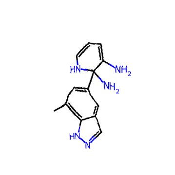 Cc1cc(C2(N)NC=CC=C2N)cc2cn[nH]c12